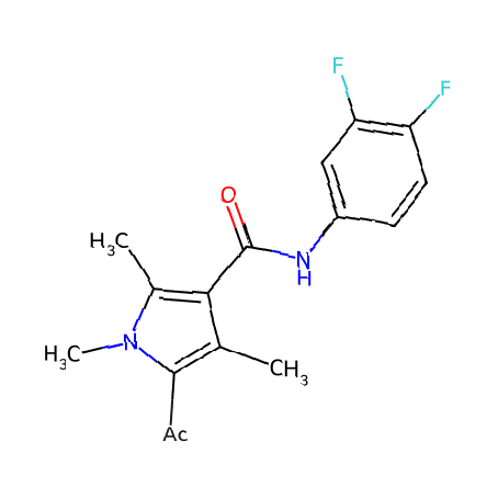 CC(=O)c1c(C)c(C(=O)Nc2ccc(F)c(F)c2)c(C)n1C